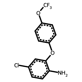 Nc1ccc(Cl)cc1Oc1ccc(OC(F)(F)F)cc1